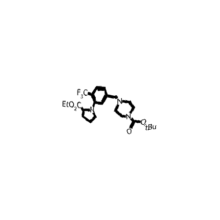 CCOC(=O)C1CCCN1c1cc(CN2CCN(C(=O)OC(C)(C)C)CC2)ccc1C(F)(F)F